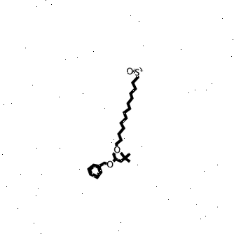 C[S+]([O-])CCCCCCCCCCCCCCOCC(CC(C)(C)C)OCc1ccccc1